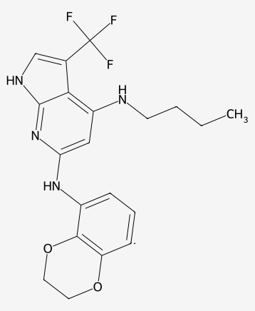 CCCCNc1cc(Nc2cc[c]c3c2OCCO3)nc2[nH]cc(C(F)(F)F)c12